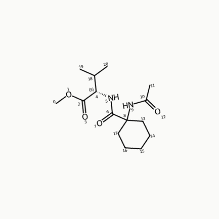 COC(=O)[C@@H](NC(=O)C1(NC(C)=O)CCCCC1)C(C)C